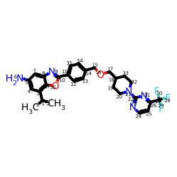 CC(C)c1cc(N)cc2nc(-c3ccc(COCC4CCN(c5nccc(C(F)(F)F)n5)CC4)cc3)oc12